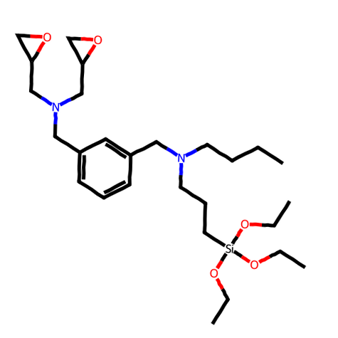 CCCCN(CCC[Si](OCC)(OCC)OCC)Cc1cccc(CN(CC2CO2)CC2CO2)c1